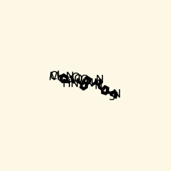 CNC(=O)[C@H](Cc1ccc(Cl)cc1)NC(=O)c1cccc2c1OCCN2Cc1cncn1Cc1ccc(-c2cncs2)cc1